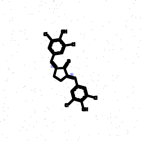 O=C1/C(=C\c2cc(Cl)c(O)c(Cl)c2)CC/C1=C\c1cc(Cl)c(O)c(Cl)c1